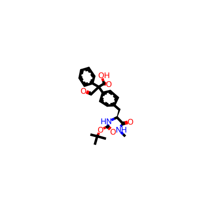 CNC(=O)[C@H](Cc1ccc(C(C=O)(C(=O)O)c2ccccc2)cc1)NC(=O)OC(C)(C)C